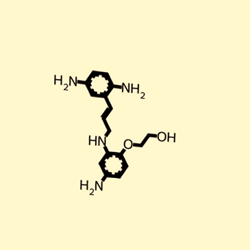 Nc1ccc(N)c(C=CCNc2cc(N)ccc2OCCO)c1